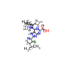 CC(C)c1ccnc(-c2nc3nc(C(=O)O)nc(N[C@H](C)C4CCC4)c3n2C[C@H]2CC[C@H](C)CC2)c1F